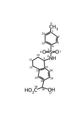 Cc1ccc(S(=O)(=O)NC2CCCc3cc(C(O)C(=O)O)ccc32)cc1